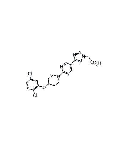 O=C(O)Cn1nnc(-c2cnc(N3CCC(Oc4cc(Cl)ccc4Cl)CC3)nc2)n1